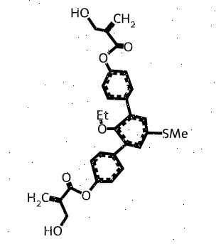 C=C(CO)C(=O)Oc1ccc(-c2cc(SC)cc(-c3ccc(OC(=O)C(=C)CO)cc3)c2OCC)cc1